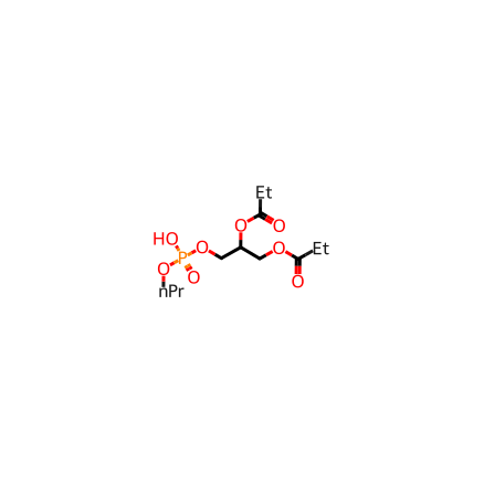 CCCOP(=O)(O)OCC(COC(=O)CC)OC(=O)CC